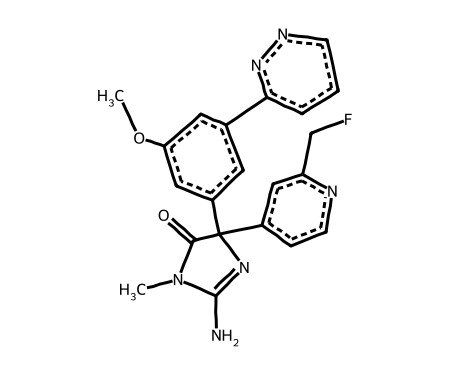 COc1cc(-c2cccnn2)cc(C2(c3ccnc(CF)c3)N=C(N)N(C)C2=O)c1